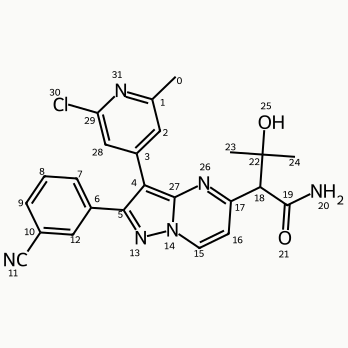 Cc1cc(-c2c(-c3cccc(C#N)c3)nn3ccc(C(C(N)=O)C(C)(C)O)nc23)cc(Cl)n1